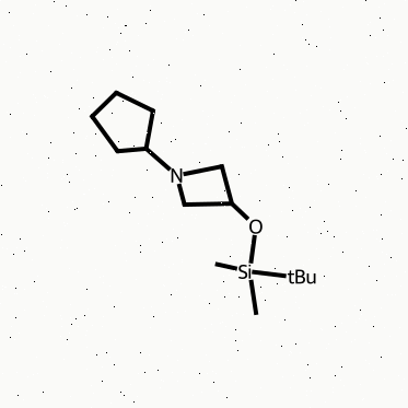 CC(C)(C)[Si](C)(C)OC1CN(C2CCCC2)C1